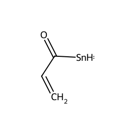 C=C[C](=O)[SnH]